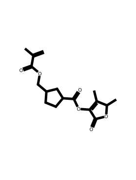 C=C(C)C(=O)OCC1CCC(C(=O)OC2=C(C)C(C)OC2=O)C1